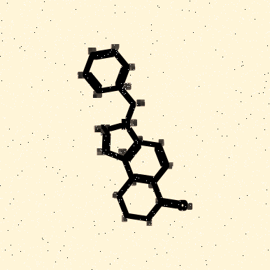 O=C1CCCc2c1ccc1c2cnn1Cc1ccccc1